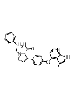 Cc1c[nH]c2nccc(Oc3ccc([C@H]4CCN(CCc5ccccc5)[C@@H]4C(N)=O)cc3)c12